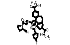 CNC(=O)c1ccc2c(c1)CCc1cc(C(=O)NC)ccc1C2(C[C@H](C)NCC(=O)N1CCCC1C#N)c1nnc(-c2ccc(F)cc2)o1